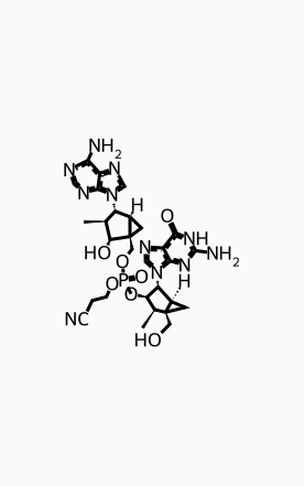 C[C@H]1[C@H](n2cnc3c(N)ncnc32)[C@H]2C[C@]2(COP(=O)(OCCC#N)O[C@H]2[C@H](n3cnc4c(=O)[nH]c(N)nc43)[C@H]3C[C@]3(CO)[C@H]2C)[C@H]1O